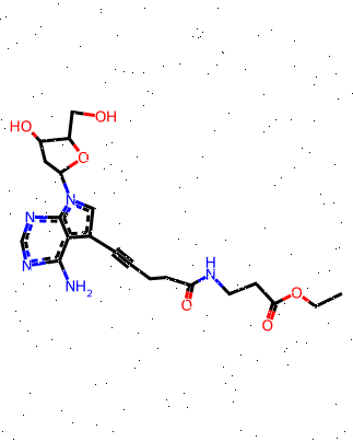 CCOC(=O)CCNC(=O)CCC#Cc1cn(C2CC(O)C(CO)O2)c2ncnc(N)c12